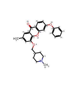 Cc1cc(OCC2CCN(C)CC2)c2oc3cc(Oc4ccccc4)ccc3c(=O)c2c1